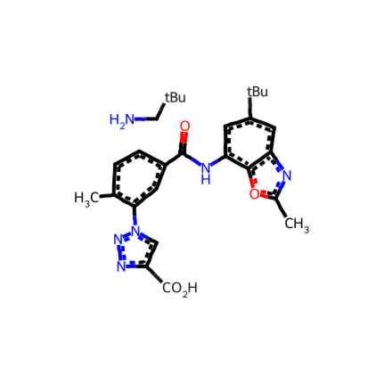 CC(C)(C)CN.Cc1nc2cc(C(C)(C)C)cc(NC(=O)c3ccc(C)c(-n4cc(C(=O)O)nn4)c3)c2o1